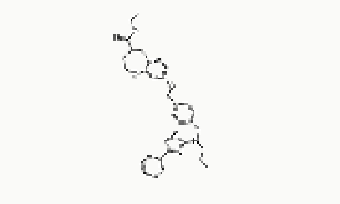 CCCN(Cc1ccc(COc2ccc3c(c2)OCCC(C(=O)OCC)C3)cc1)c1nc(-c2ccccc2)cs1